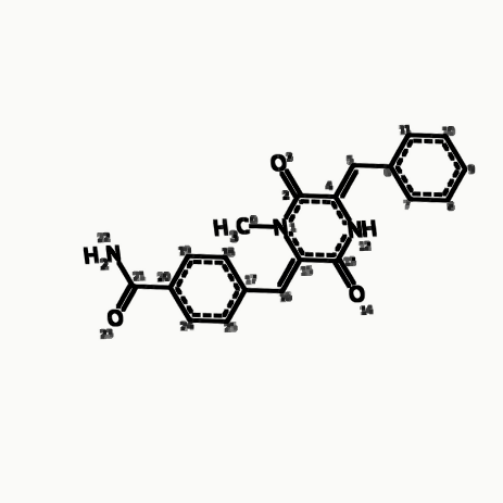 Cn1c(=O)c(=Cc2ccccc2)[nH]c(=O)c1=Cc1ccc(C(N)=O)cc1